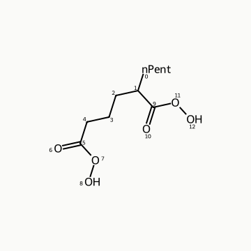 CCCCCC(CCCC(=O)OO)C(=O)OO